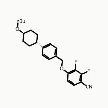 CCCCO[C@H]1CC[C@H](c2ccc(COc3ccc(C#N)c(F)c3F)cc2)CC1